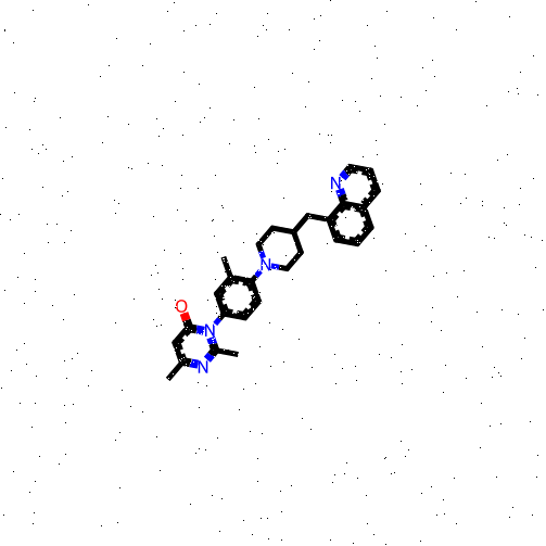 Cc1cc(=O)n(-c2ccc(N3CCC(Cc4cccc5cccnc45)CC3)c(C)c2)c(C)n1